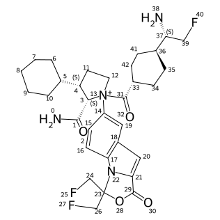 NC(=O)[C@@H]1[C@H](C2CCCCC2)CC[N+]1(c1ccc2c(c1)cc1n2C(CF)(CF)OC1=O)C(=O)[C@H]1CC[C@H]([C@H](N)CF)CC1